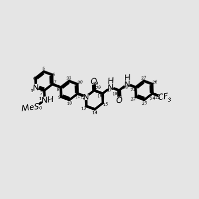 CSNc1ncccc1-c1ccc(N2CCCC(NC(=O)Nc3ccc(C(F)(F)F)cc3)C2=O)cc1